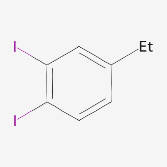 [CH2]Cc1ccc(I)c(I)c1